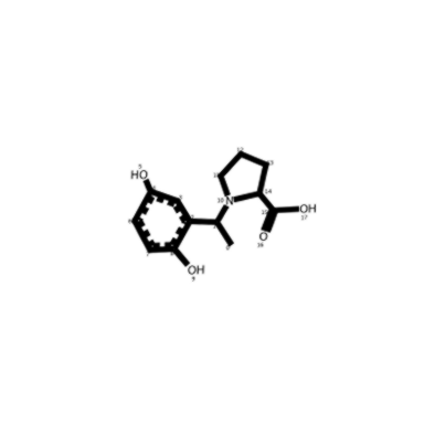 CC(c1cc(O)ccc1O)N1CCCC1C(=O)O